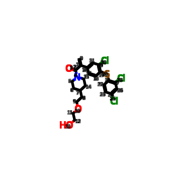 C=C(C(=O)N1CCC(CCOCCO)CC1)c1ccc(Sc2ccc(Cl)cc2Cl)c(Cl)c1